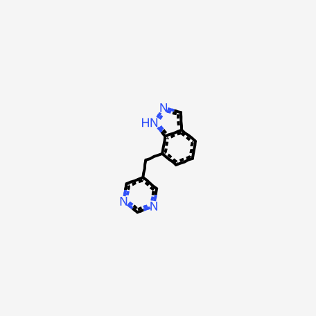 c1cc(Cc2cncnc2)c2[nH]ncc2c1